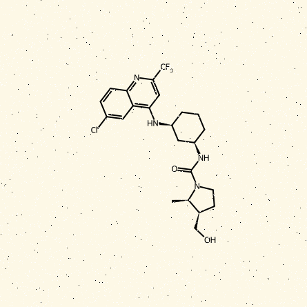 C[C@@H]1[C@H](CO)CCN1C(=O)N[C@@H]1CCC[C@H](Nc2cc(C(F)(F)F)nc3ccc(Cl)cc23)C1